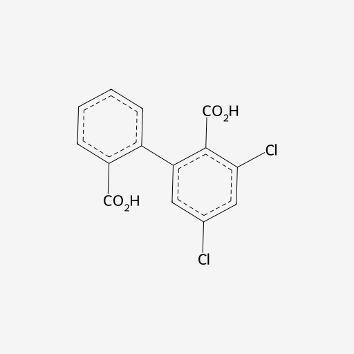 O=C(O)c1ccccc1-c1cc(Cl)cc(Cl)c1C(=O)O